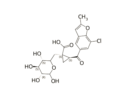 Cc1cc2cc(C(=O)[C@H]3C[C@@]3(CC3OC(O)[C@H](O)[C@@H](O)[C@@H]3O)C(=O)O)cc(Cl)c2o1